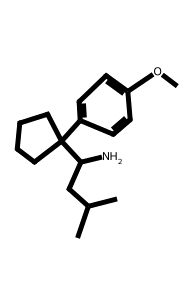 COc1ccc(C2(C(N)CC(C)C)CCCC2)cc1